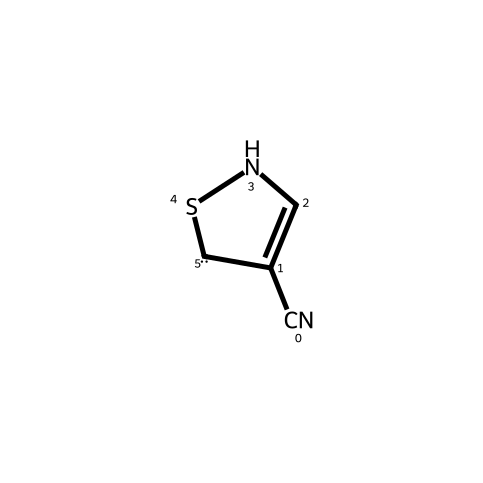 N#CC1=CNS[C]1